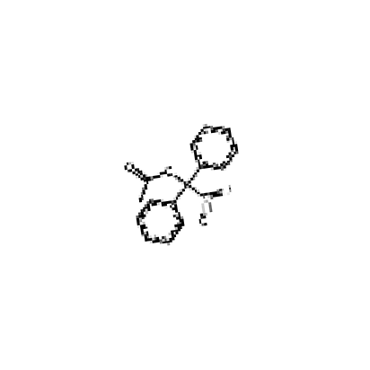 CC(=O)OC(c1ccccc1)(c1ccccc1)[SH](=O)=O